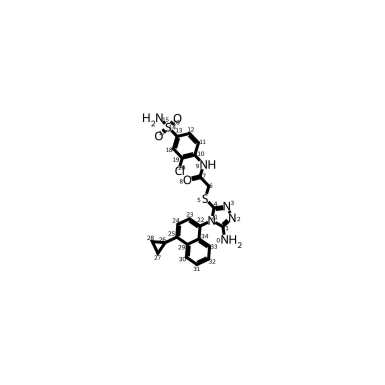 Nc1nnc(SCC(=O)Nc2ccc(S(N)(=O)=O)cc2Cl)n1-c1ccc(C2CC2)c2ccccc12